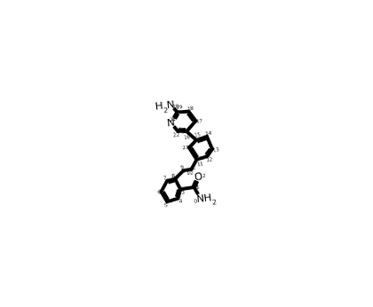 NC(=O)c1ccccc1C[CH]c1cccc(-c2ccc(N)nc2)c1